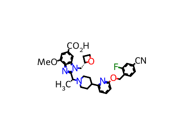 COc1cc(C(=O)O)cc2c1nc([C@H](C)N1CCC(c3cccc(OCc4ccc(C#N)cc4F)n3)CC1)n2C[C@@H]1CCO1